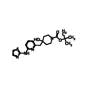 CC(C)(C)OC(=O)N1CCC(O)(Cc2cccc(Nc3nccs3)n2)CC1